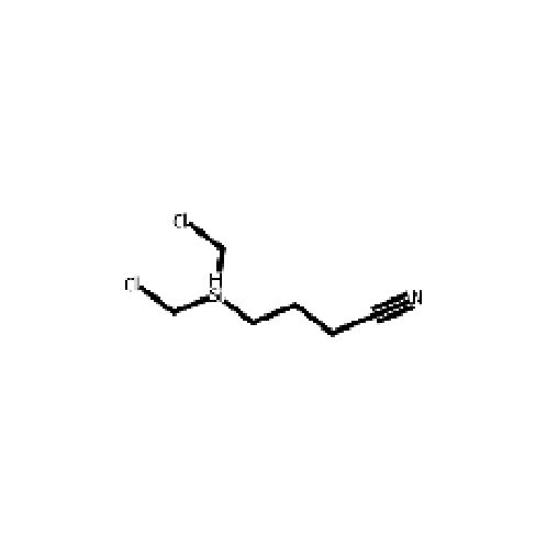 N#CCCC[SiH](CCl)CCl